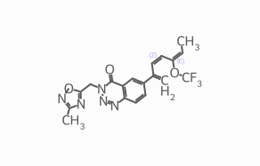 C=C(/C=C\C(=C/C)OC(F)(F)F)c1ccc2nnn(Cc3nc(C)no3)c(=O)c2c1